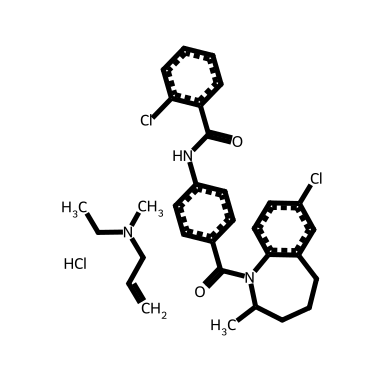 C=CCN(C)CC.CC1CCCc2cc(Cl)ccc2N1C(=O)c1ccc(NC(=O)c2ccccc2Cl)cc1.Cl